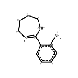 Nc1ccccc1C1=NCCCCN1